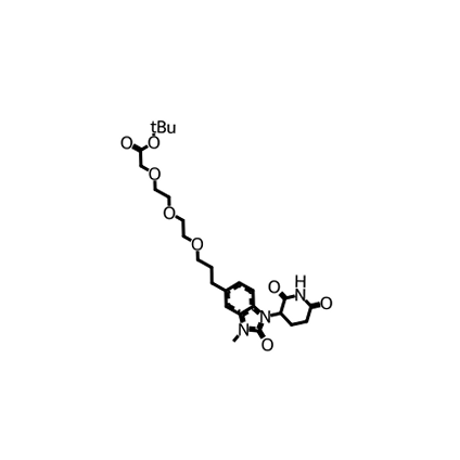 Cn1c(=O)n(C2CCC(=O)NC2=O)c2ccc(CCCOCCOCCOCC(=O)OC(C)(C)C)cc21